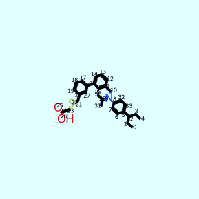 CCC(CC)c1ccc(N(Cc2cccc(-c3cccc(CSCC(=O)O)c3)c2)C(C)C)cc1